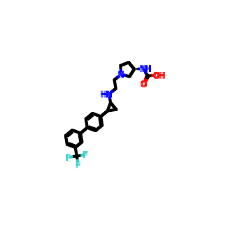 O=C(O)N[C@H]1CCN(CCNC2CC2c2ccc(-c3cccc(C(F)(F)F)c3)cc2)C1